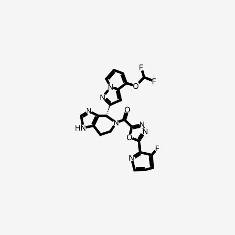 O=C(c1nnc(-c2ncccc2F)o1)N1CCc2[nH]cnc2[C@@H]1c1cc2c(OC(F)F)cccn2n1